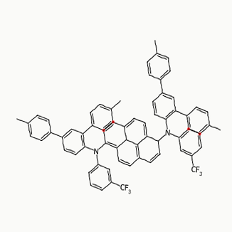 Cc1ccc(-c2ccc(N(C3=C4C=CC5=C6C(=CC=C(C=C3)C46)C(N(c3cccc(C(F)(F)F)c3)c3ccc(-c4ccc(C)cc4)cc3-c3ccc(C)cc3)C=C5)c3cccc(C(F)(F)F)c3)c(-c3ccc(C)cc3)c2)cc1